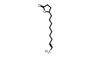 C/C=C/CCCCCCCC1CCC(=O)O1